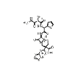 CNC(=O)N(C)C(=O)NC(C(=O)NC1C(=O)N2CC(C(=O)O)(C(C)Sc3nnn[nH]3)CS[C@H]12)c1cccs1